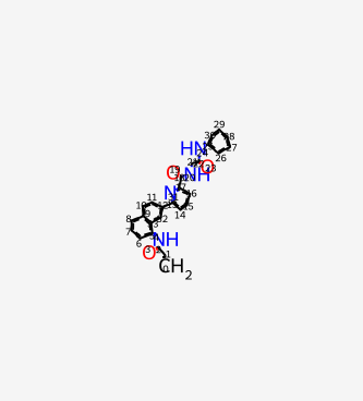 C=CC(=O)Nc1cccc2ccc(-c3cccc(C(=O)NCC(=O)Nc4ccccc4)n3)cc12